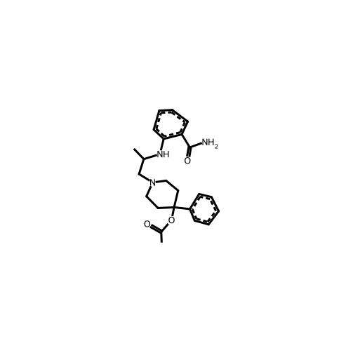 CC(=O)OC1(c2ccccc2)CCN(CC(C)Nc2ccccc2C(N)=O)CC1